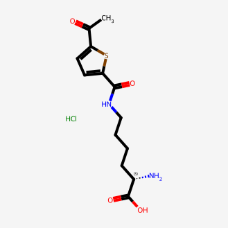 CC(=O)c1ccc(C(=O)NCCCC[C@H](N)C(=O)O)s1.Cl